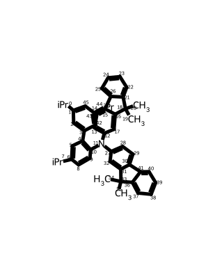 CC(C)c1cc(-c2cc(C(C)C)ccc2N(c2ccc3c(c2)C(C)(C)c2ccccc2-3)c2ccc3c(c2)C(C)(C)c2ccccc2-3)cc(C(C)C)c1